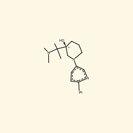 CC(C)c1ccc(N2CCC[C@@](O)(C(C)(C)N(C)C)C2)cn1